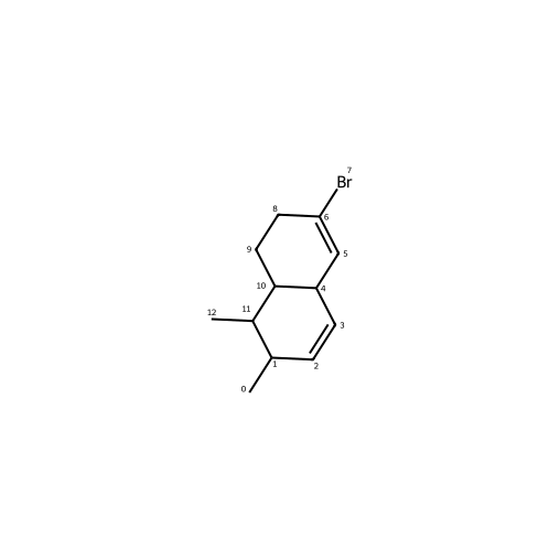 CC1C=CC2C=C(Br)CCC2C1C